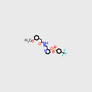 COc1cccc(CC(=O)NN=Cc2ncccc2OS(=O)(=O)c2ccc(C(F)(F)F)cc2)c1